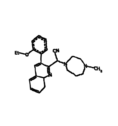 CCOc1ccccc1C1=CC2=CC=CCC2N=C1C(C#N)N1CCCN(C)CC1